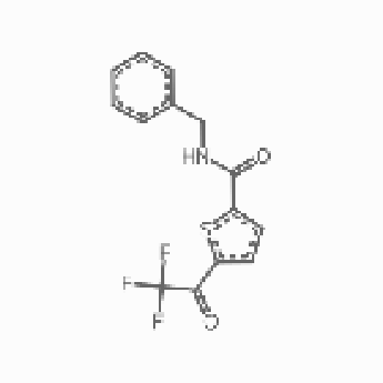 O=C(NCc1ccccc1)c1ccc(C(=O)C(F)(F)F)s1